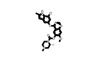 COc1cc2ncnc(Oc3cc(Cl)c4[nH]c(C)cc4c3)c2cc1OC(=O)N1CCN(C)C[C@H]1C